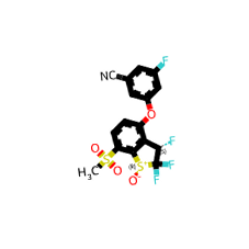 CS(=O)(=O)c1ccc(Oc2cc(F)cc(C#N)c2)c2c1[S@+]([O-])C(F)(F)[C@H]2F